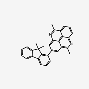 Cc1nc2cc(-c3cccc4c3C(C)(C)c3ccccc3-4)cc3c(C)nc4cccc1c4c23